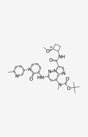 CO[C@H]1CCC1NC(=O)c1cnc2c(N(C)C(=O)OC(C)(C)C)cc(Nc3cccn(-c4ccc(C)nc4)c3=O)nn12